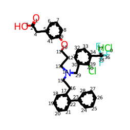 Cl.O=C(O)Cc1cccc(OCCCN(CCc2ccccc2-c2ccccc2)Cc2cccc(C(F)(F)F)c2Cl)c1